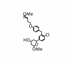 CO/N=C/CCOc1ccc(Cc2cc(C3CC(O)CC(OC)O3)ccc2Cl)cc1